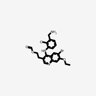 CCOc1cc2ncc(CCOC=O)c(Nc3cccc(CN)c3Cl)c2cc1Br